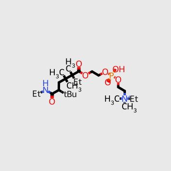 CCNC(=O)C(CC(C)(C)C(C)(CC)C(=O)OCCOP(=O)(O)OCC[N+](C)(C)CC)C(C)(C)C